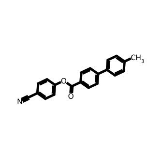 Cc1ccc(-c2ccc(C(=O)Oc3ccc(C#N)cc3)cc2)cc1